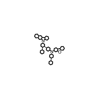 c1ccc(-c2ccc(N(c3ccc(-c4cc(-n5c6ccccc6c6cc7ccccc7cc65)ccc4-c4ccccc4)cc3)c3ccc4c(c3)oc3ccccc34)cc2)cc1